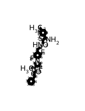 Cc1ccc2c(N)c(C(=O)NCCc3cc(F)c(N4C[C@@H](F)[C@@H](N(C)C(=O)OCc5ccccc5)C4)cc3F)sc2n1